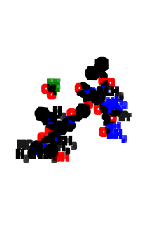 Cc1c(N(C(=O)c2cc(-c3cc4c(cc3C(=O)N3Cc5ccccc5C[C@H]3C)CN(C(=O)Cc3ccc(OCC[N+]5(Cc6ccc(NC(=O)[C@H](CCCNC(N)=O)NC(=O)[C@@H](N)C(C)C)cc6CN(C)C(=O)OCC6c7ccccc7-c7ccccc76)CCOCC5)cc3)CC4)n(C)c2C)c2ccc(O)cc2)cc(C#N)n1C.O=C([O-])C(F)(F)F